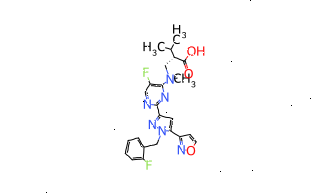 CC(C)[C@@H](CN(C)c1nc(-c2cc(-c3ccon3)n(Cc3ccccc3F)n2)ncc1F)C(=O)O